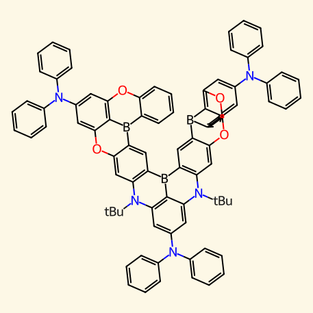 CC(C)(C)N1c2cc3c(cc2B2c4cc5c(cc4N(C(C)(C)C)c4cc(N(c6ccccc6)c6ccccc6)cc1c42)Oc1cc(N(c2ccccc2)c2ccccc2)cc2c1B5c1ccccc1O2)B1c2ccccc2Oc2cc(N(c4ccccc4)c4ccccc4)cc(c21)O3